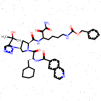 CC(C)(O)c1cnnn1[C@H]1C[C@@H](C(=O)NC(CCCCNC(=O)OCc2ccccc2)C(=O)C(N)=O)N(C(=O)[C@@H](CC2CCCCC2)NC(=O)c2ccc3cnccc3c2)C1